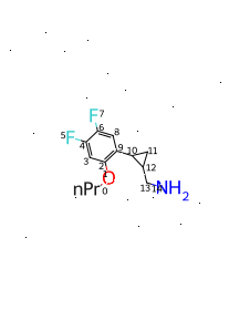 CCCOc1cc(F)c(F)cc1C1CC1CN